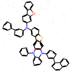 c1ccc(-c2cccc(N(c3ccc4c(c3)oc3ccccc34)c3ccc4sc5cc(N(c6cccc(-c7cccc8ccccc78)c6)c6ccccc6N(c6ccccc6)c6ccccc6)ccc5c4c3)c2)cc1